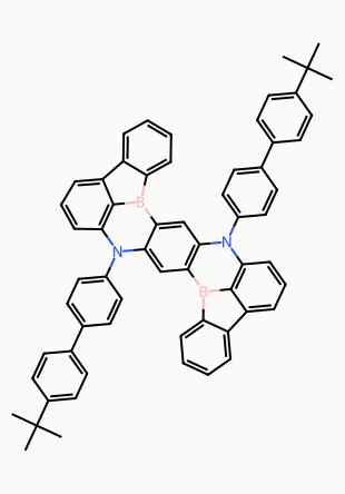 CC(C)(C)c1ccc(-c2ccc(N3c4cc5c(cc4B4c6ccccc6-c6cccc3c64)N(c3ccc(-c4ccc(C(C)(C)C)cc4)cc3)c3cccc4c3B5c3ccccc3-4)cc2)cc1